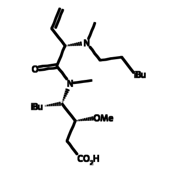 C=C[C@@H](C(=O)N(C)[C@@H]([C@@H](C)CC)[C@@H](CC(=O)O)OC)N(C)CCC(C)CC